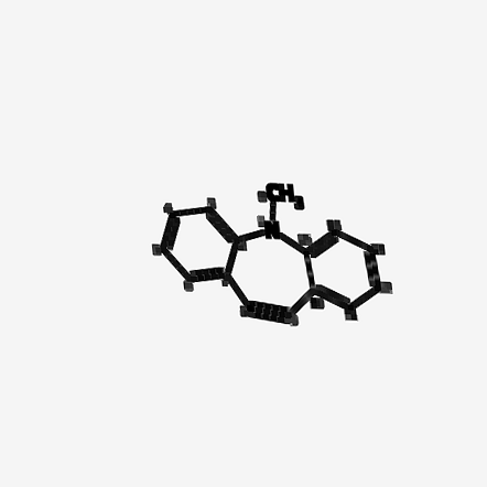 CN1c2ccccc2C#Cc2ccccc21